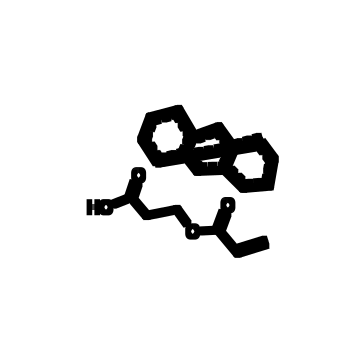 C=CC(=O)OCCC(=O)O.c1cc2cc3c4cccc3c(c1)c2c4